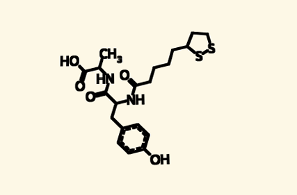 CC(NC(=O)C(Cc1ccc(O)cc1)NC(=O)CCCCC1CCSS1)C(=O)O